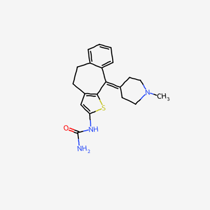 CN1CCC(=C2c3ccccc3CCc3cc(NC(N)=O)sc32)CC1